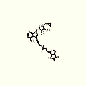 Nc1ncnc2c1c(C#CCNC(=O)CCC1SCC3NC(=O)NC31)cn2C[C@@H]1O[C@H](CN2CC2)C(O)[C@@H]1O